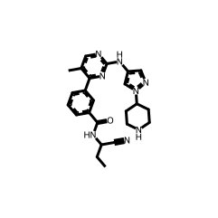 CCC(C#N)NC(=O)c1cccc(-c2nc(Nc3cnn(C4CCNCC4)c3)ncc2C)c1